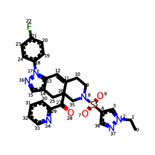 CCn1cc(S(=O)(=O)N2CCC3=Cc4c(cnn4-c4ccc(F)cc4)CC3(C(=O)c3ccccn3)C2)cn1